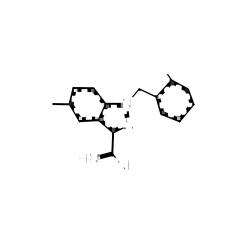 N=C(N)c1nn(Cc2ccccc2F)c2ccc(F)cc12